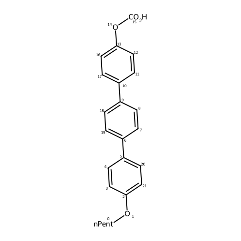 CCCCCOc1ccc(-c2ccc(-c3ccc(OC(=O)O)cc3)cc2)cc1